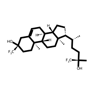 C[C@H](CC[C@](C)(O)C(F)(F)F)[C@H]1CC[C@H]2[C@@H]3CC=C4C[C@](O)(C(F)(F)F)CC[C@]4(C)[C@H]3CC[C@]12C